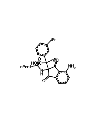 CCCCCC(=O)NC1(C(CCCC)(C(=O)O)c2cccc(C(C)C)c2)C(=O)c2cccc(N)c2C1=O